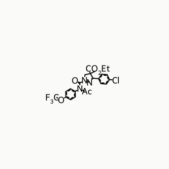 CCOC(=O)C1(C)CN(C(=O)N(C(C)=O)c2ccc(OC(F)(F)F)cc2)N=C1c1ccc(Cl)cc1